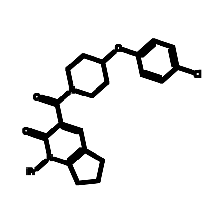 CC(C)n1c2c(cc(C(=O)N3CCC(Oc4ccc(Cl)cc4)CC3)c1=O)CCC2